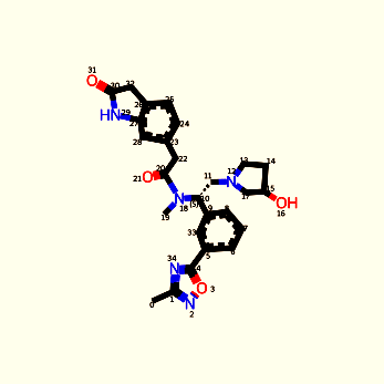 Cc1noc(-c2cccc([C@@H](CN3CCC(O)C3)N(C)C(=O)Cc3ccc4c(c3)NC(=O)C4)c2)n1